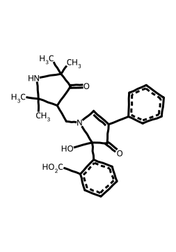 CC1(C)NC(C)(C)C(CN2C=C(c3ccccc3)C(=O)C2(O)c2ccccc2C(=O)O)C1=O